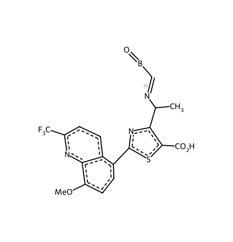 COc1ccc(-c2nc(C(C)/N=C/B=O)c(C(=O)O)s2)c2ccc(C(F)(F)F)nc12